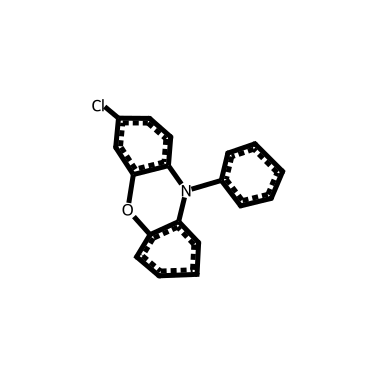 Clc1ccc2c(c1)Oc1ccccc1N2c1ccccc1